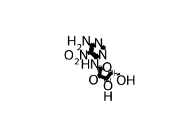 Nc1ncnc(N[C@@H]2O[C@H](CO)[C@@H](O)C2=O)c1[N+](=O)[O-]